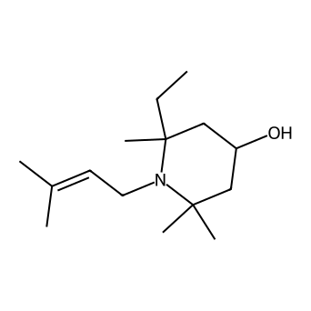 CCC1(C)CC(O)CC(C)(C)N1CC=C(C)C